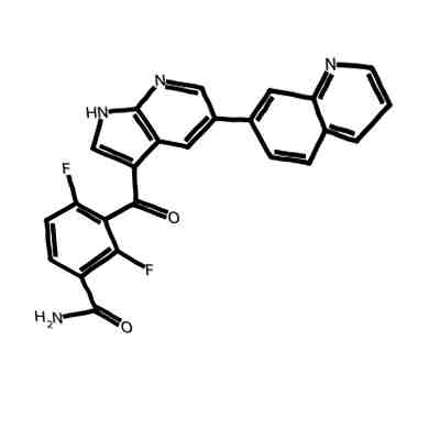 NC(=O)c1ccc(F)c(C(=O)c2c[nH]c3ncc(-c4ccc5cccnc5c4)cc23)c1F